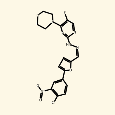 O=[N+]([O-])c1cc(-c2ccc(/C=N\Nc3ncc(F)c(N4CCOCC4)n3)o2)ccc1Cl